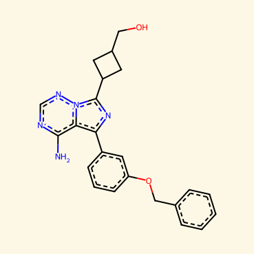 Nc1ncnn2c(C3CC(CO)C3)nc(-c3cccc(OCc4ccccc4)c3)c12